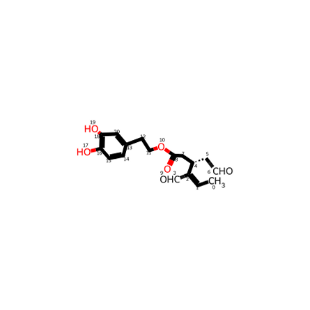 C/C=C(/C=O)[C@@H](CC=O)CC(=O)OCCc1ccc(O)c(O)c1